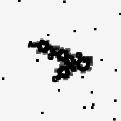 CC(=O)c1ccc(NC(=O)c2ccc(CN([C@@H]3CCCCNC3=O)S(=O)(=O)c3ccc(Cl)cc3)cc2)cc1